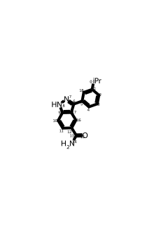 CC(C)c1cccc(-c2n[nH]c3ccc(C(N)=O)cc23)c1